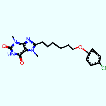 Cn1c(CCCCCCOc2ccc(Cl)cc2)nc2c1c(=O)[nH]c(=O)n2C